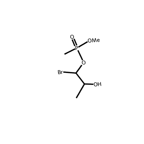 COP(C)(=O)OC(Br)C(C)O